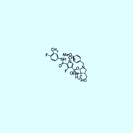 COc1ccc(CN2CC(CO)C(C)(NS(=O)(=O)c3cn(C)c(C(=O)Nc4ccc(F)c(C)c4)c3F)C2)cc1